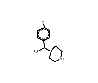 Fc1ccc(C(N2CCNCC2)C(F)(F)F)cc1